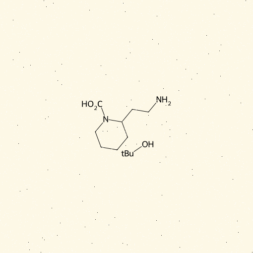 CC(C)(C)O.NCCC1CCCCN1C(=O)O